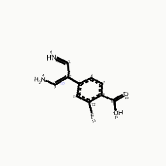 N=C/C(=C\N)c1ccc(C(=O)O)c(F)c1